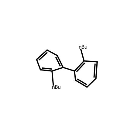 CCCCc1ccc[c]c1-c1ccccc1CCCC